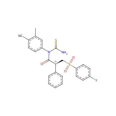 Cc1cc(N(C(=O)[C@@H](CS(=O)(=O)c2ccc(F)cc2)c2ccccc2)C(N)=S)ccc1C#N